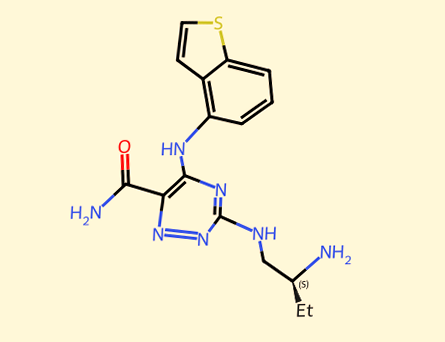 CC[C@H](N)CNc1nnc(C(N)=O)c(Nc2cccc3sccc23)n1